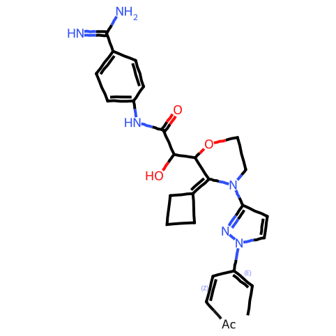 C/C=C(\C=C/C(C)=O)n1ccc(N2CCOC(C(O)C(=O)Nc3ccc(C(=N)N)cc3)C2=C2CCC2)n1